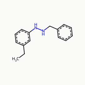 CCc1cccc(NNCc2ccccc2)c1